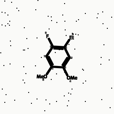 CCc1cc(OC)c(OC)cc1F